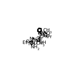 CCOc1nc(N)nc2c1ncn2[C@@H]1O[C@](F)(CO[P@](=S)(N[C@H](C)C(=O)OC(C)C)Oc2ccccc2)[C@@H](O)[C@@]1(C)O